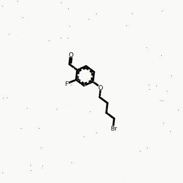 O=Cc1ccc(OCCCCBr)cc1F